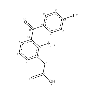 Nc1c(CC(=O)O)cccc1C(=O)c1ccc(I)cc1